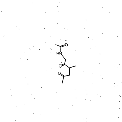 CC(=O)CC(C)C(=O)CNC(C)=O